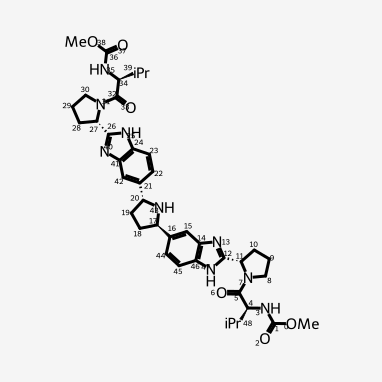 COC(=O)N[C@H](C(=O)N1CCC[C@H]1c1nc2cc([C@H]3CC[C@H](c4ccc5[nH]c([C@@H]6CCCN6C(=O)[C@@H](NC(=O)OC)C(C)C)nc5c4)N3)ccc2[nH]1)C(C)C